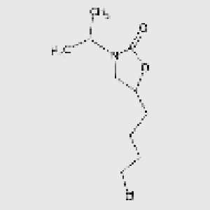 CC(C)N1CC(CCCCCl)OC1=O